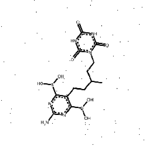 CC(CCc1c(B(O)O)nc(N)nc1B(O)O)CCn1c(=O)[nH]c(=O)[nH]c1=O